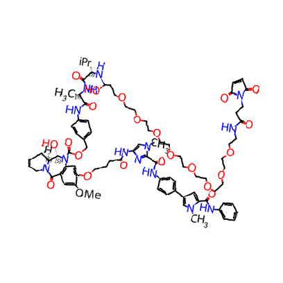 COc1cc2c(cc1OCCCC(=O)Nc1cn(C)c(C(=O)Nc3ccc(-c4cc(C(=O)Nc5ccccc5)n(C)c4)cc3)n1)N(C(=O)OCc1ccc(NC(=O)[C@H](C)NC(=O)[C@@H](NC(O)CCOCCOCCOCCOCCOCCOCCOCCOCCNC(=O)CCN3C(=O)C=CC3=O)C(C)C)cc1)[C@@H](O)[C@@H]1CCCCN1C2=O